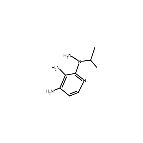 CC(C)N(N)c1nccc(N)c1N